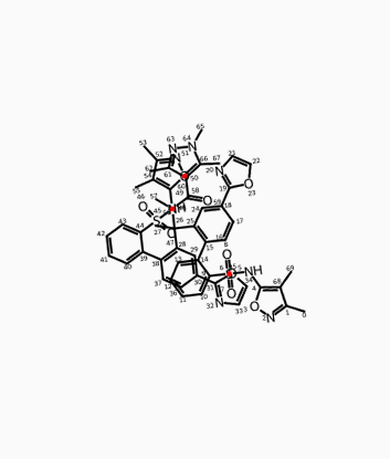 Cc1noc(NS(=O)(=O)c2ccccc2-c2ccc(-c3ncco3)cc2C(C)(c2cc(-c3ncco3)ccc2-c2ccccc2S(=O)(=O)Nc2onc(C)c2C)N(C)C(=O)c2c(C)nn(C)c2C)c1C